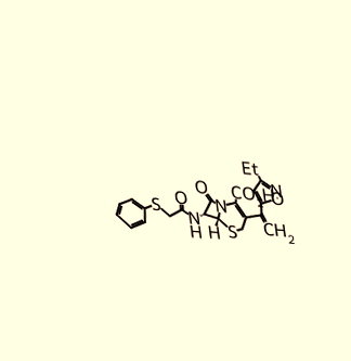 C=C(C1=C(C(=O)O)N2C(=O)[C@@H](NC(=O)CSc3ccccc3)[C@H]2SC1)c1cc(CC)no1